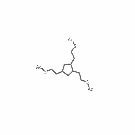 CC(=O)SCCC1CC(CCSC(C)=O)C(CCSC(C)=O)C1